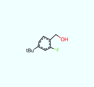 CC(C)(C)c1ccc(CO)c(F)c1